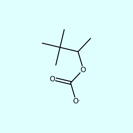 CC(OC([O])=O)C(C)(C)C